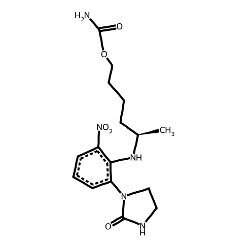 C[C@H](CCCCOC(N)=O)Nc1c(N2CCNC2=O)cccc1[N+](=O)[O-]